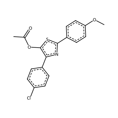 COc1ccc(-c2nc(-c3ccc(Cl)cc3)c(OC(C)=O)s2)cc1